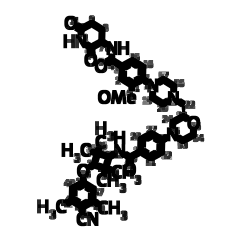 COc1cc(C(=O)NC2CCC(=O)NC2=O)ccc1N1CCN(C[C@H]2CN(c3ccc(C(=O)NC4C(C)(C)C(Oc5cc(C)c(C#N)c(C)c5)C4(C)C)cc3)CCO2)CC1